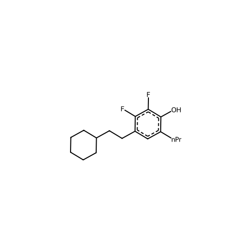 CCCc1cc(CCC2CCCCC2)c(F)c(F)c1O